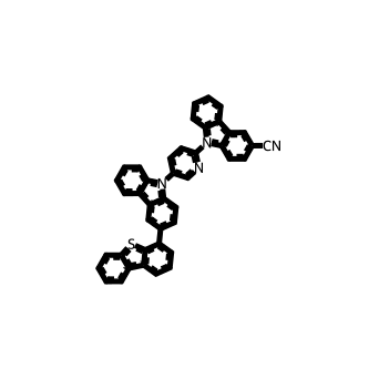 N#Cc1ccc2c(c1)c1ccccc1n2-c1ccc(-n2c3ccccc3c3cc(-c4cccc5c4sc4ccccc45)ccc32)cn1